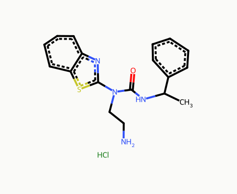 CC(NC(=O)N(CCN)c1nc2ccccc2s1)c1ccccc1.Cl